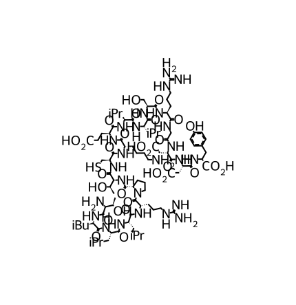 CC[C@H](C)[C@H](NC(=O)[C@@H](N)[C@@H](C)O)C(=O)N[C@@H](CC(C)C)C(=O)N[C@@H](CC(C)C)C(=O)N[C@@H](CCCNC(=N)N)C(=O)N1CCC[C@H]1C(=O)N[C@H](C(=O)N[C@@H](CS)C(=O)N[C@@H](CCCCN)C(=O)N[C@@H](CCC(=O)O)C(=O)N[C@H](C(=O)N[C@H](C(=O)N[C@@H](CO)C(=O)N[C@@H](CCCNC(=N)N)C(=O)NCC(=O)N[C@@H](CC(=O)O)C(=O)N[C@@H](CC(=O)O)C(=O)N[C@@H](Cc1ccc(O)cc1)C(=O)O)C(C)C)C(C)C)[C@@H](C)O